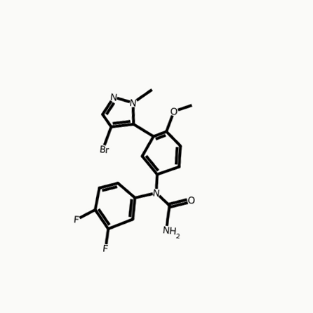 COc1ccc(N(C(N)=O)c2ccc(F)c(F)c2)cc1-c1c(Br)cnn1C